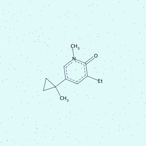 CCc1cc(C2(C)CC2)cn(C)c1=O